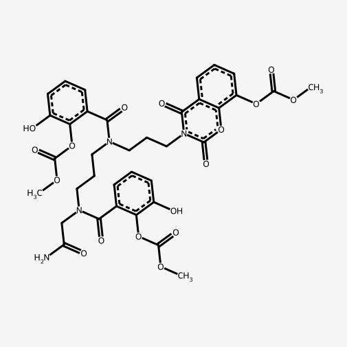 COC(=O)Oc1c(O)cccc1C(=O)N(CCCN(CC(N)=O)C(=O)c1cccc(O)c1OC(=O)OC)CCCn1c(=O)oc2c(OC(=O)OC)cccc2c1=O